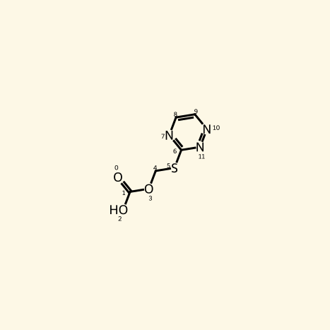 O=C(O)OCSc1nccnn1